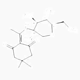 CC(=O)OC[C@H]1O[CH][C@@](N)(NC(C)=C2C(=O)CC(C)(C)CC2=O)[C@@H](OC(C)=O)[C@@H]1OC(C)=O